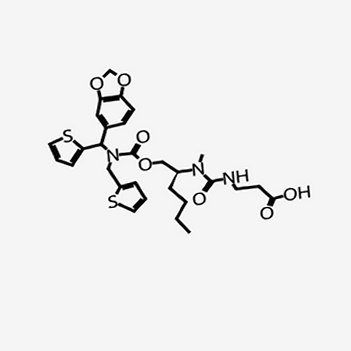 CCCC[C@@H](COC(=O)N(Cc1cccs1)C(c1ccc2c(c1)OCO2)c1cccs1)N(C)C(=O)NCCC(=O)O